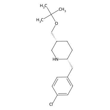 CC(C)(C)OC[C@@H]1CC[C@H](Cc2ccc(Cl)cc2)NC1